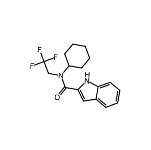 O=C(c1cc2ccccc2[nH]1)N(CC(F)(F)F)C1CCCCC1